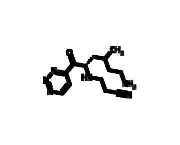 CC(CCN)C[C@H](NCCC#N)C(=O)c1ccnnn1